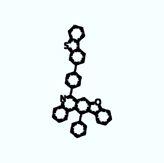 c1ccc(-c2c3c(cc4c(-c5ccc(-c6ccc7c(c6)sc6ccccc67)cc5)nc5ccccc5c24)oc2ccccc23)cc1